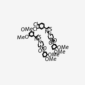 COc1cc(OC)cc(-c2csc(N3CCN(S(=O)(=O)c4ccc(OC)c(OC)c4)CC3)n2)c1.COc1ccc(S(=O)(=O)N2CCN(c3nc(-c4ccc(Cl)c(Cl)c4)cs3)CC2)cc1OC